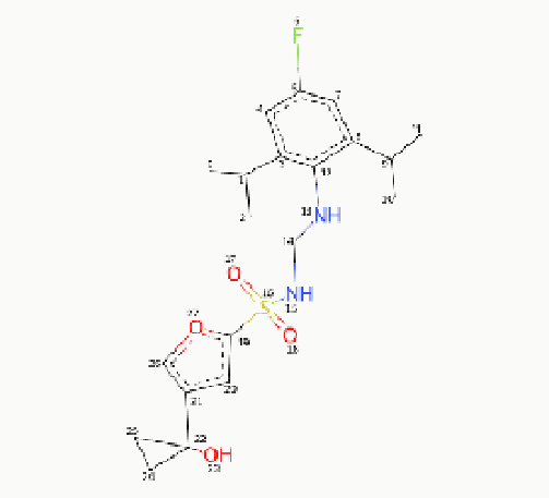 CC(C)c1cc(F)cc(C(C)C)c1NCNS(=O)(=O)c1cc(C2(O)CC2)co1